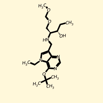 CC[C@H](O)[C@H](COCOC)NCc1cn(CC)c2c(OC(C)(C)C)ncnc12